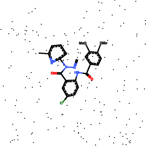 C=NN(C(=O)c1cc(Cl)ccc1NC(=O)c1ccc(OC)c(OC)c1)c1cccc(C)n1